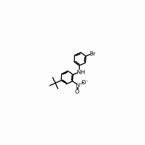 CC(C)(C)c1ccc(Nc2cccc(Br)c2)c([N+](=O)[O-])c1